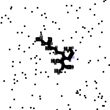 C=C(C(C)O)N(/C=C\N)CCCNC(=O)OC(C)(C)C